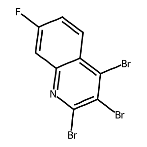 Fc1ccc2c(Br)c(Br)c(Br)nc2c1